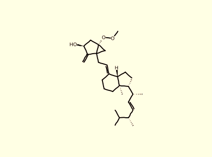 C=C1[C@@H](O)C[C@@]2(OOC)CC12C/C=C1\CCC[C@]2(C)[C@@H]([C@H](C)/C=C/[C@H](C)C(C)C)CC[C@@H]12